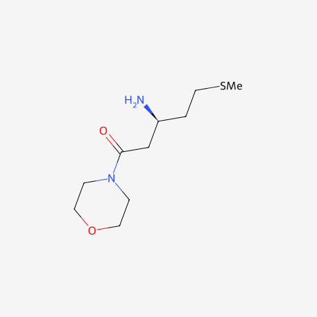 CSCC[C@H](N)CC(=O)N1CCOCC1